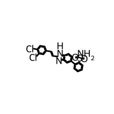 NS(=O)(=O)c1ccccc1-c1ccc2[nH]c(/C=C/c3ccc(Cl)c(Cl)c3)nc2c1